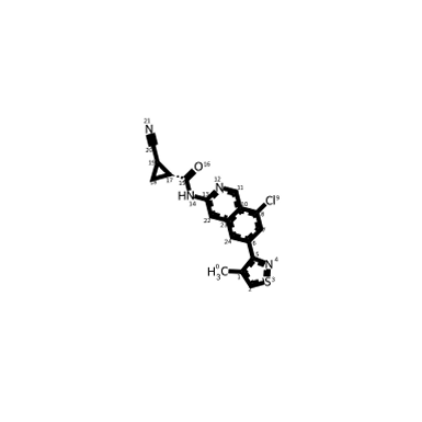 Cc1csnc1-c1cc(Cl)c2cnc(NC(=O)[C@@H]3CC3C#N)cc2c1